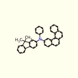 CC1(C)c2ccccc2-c2ccc(N(c3ccccc3)c3ccc4ccc5ccc6ccccc6c5c4c3)cc21